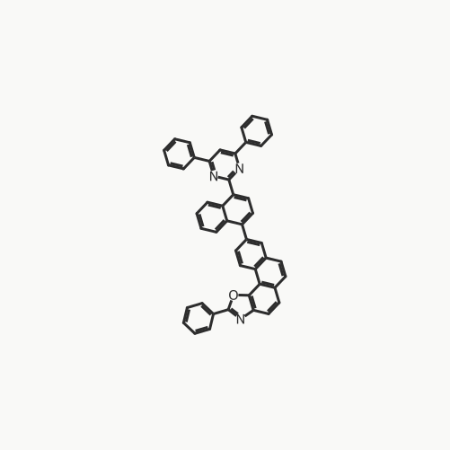 c1ccc(-c2cc(-c3ccccc3)nc(-c3ccc(-c4ccc5c(ccc6ccc7nc(-c8ccccc8)oc7c65)c4)c4ccccc34)n2)cc1